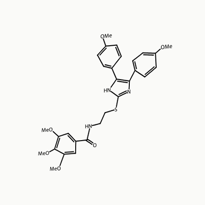 COc1ccc(-c2nc(SCCNC(=O)c3cc(OC)c(OC)c(OC)c3)[nH]c2-c2ccc(OC)cc2)cc1